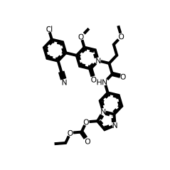 CCOC(=O)Oc1cnc2ccc(NC(=O)C(CCOC)n3cc(OC)c(-c4cc(Cl)ccc4C#N)cc3=O)cn12